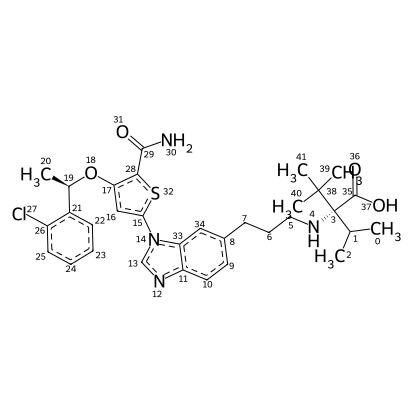 CC(C)[C@](NCCCc1ccc2ncn(-c3cc(O[C@H](C)c4ccccc4Cl)c(C(N)=O)s3)c2c1)(C(=O)O)C(C)(C)C